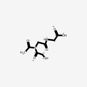 CC(=O)N(CC(=O)NCC(=O)O)C(=O)CS